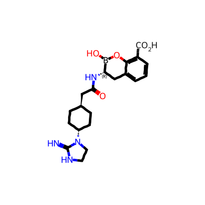 N=C1NCCN1[C@H]1CC[C@H](CC(=O)N[C@H]2Cc3cccc(C(=O)O)c3OB2O)CC1